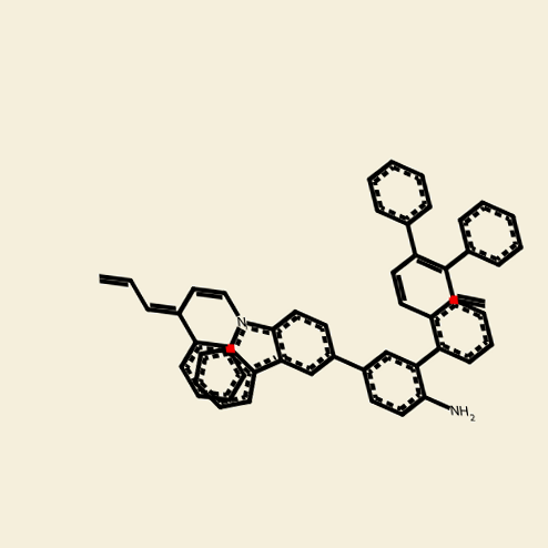 C=C/C=C(\C=C/n1c2ccccc2c2cc(-c3ccc(N)c(-c4ccccc4/C=C\C(=C(/C=C)c4ccccc4)c4ccccc4)c3)ccc21)c1ccccc1